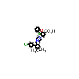 CC1(C)CCC(CN2CCN(c3ccc(C(=O)O)c(Oc4ccccc4Br)c3)CC2)=C(c2ccc(Cl)cc2)C1